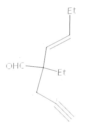 C#CCC(C=O)(/C=C/CC)CC